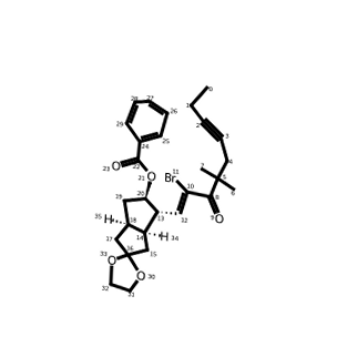 CCC#CCC(C)(C)C(=O)/C(Br)=C/[C@@H]1[C@H]2CC3(C[C@H]2C[C@H]1OC(=O)c1ccccc1)OCCO3